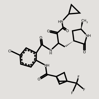 C[C@@H]1C[C@@H](CC(NC(=O)c2cc(Cl)ccc2NC(=O)C23CC(C(F)(F)F)(C2)C3)C(=O)C(=O)NC2CC2)C(=O)N1